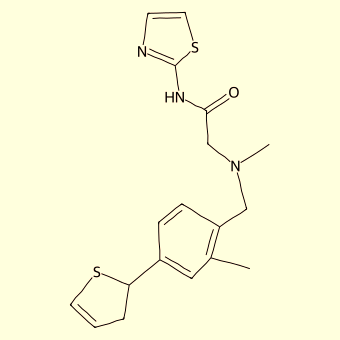 Cc1cc(C2CC=CS2)ccc1CN(C)CC(=O)Nc1nccs1